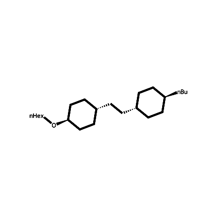 CCCCCCO[C@H]1CC[C@H](CC[C@H]2CC[C@H](CCCC)CC2)CC1